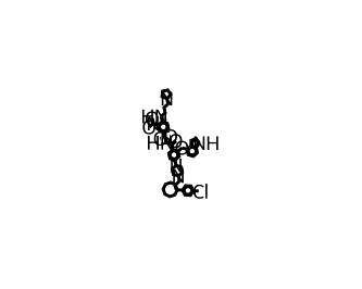 O=C(NS(=O)(=O)c1ccc(NCCCN2CCCC2)c([N+](=O)[O-])c1)c1ccc(N2CCN(CC3=C(c4ccc(Cl)cc4)CCCCCC3)CC2)cc1Oc1cccc2[nH]ccc12